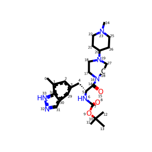 Cc1cc(C[C@@H](NC(=O)OC(C)(C)C)C(=O)N2CCN(C3CCN(C)CC3)CC2)cc2cn[nH]c12